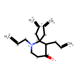 C=CCC1C(=O)CCN(CC=C)C1(CC=C)CC=C